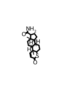 C[C@]12C=CC(=O)SC1CC[C@@H]1[C@H]2CC[C@]2(C)C(C(N)=O)CC[C@@H]12